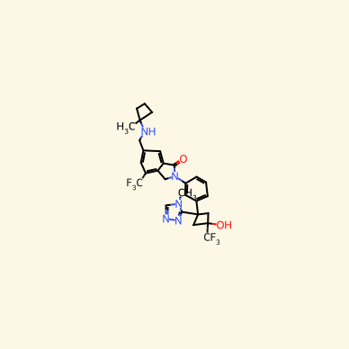 Cn1cnnc1C1(c2cccc(N3Cc4c(cc(CNC5(C)CCC5)cc4C(F)(F)F)C3=O)c2)CC(O)(C(F)(F)F)C1